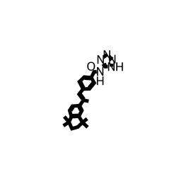 C/C(=C\c1ccc(C(=O)Nc2nnn[nH]2)cc1)c1ccc2c(c1)C(C)(C)CCC2(C)C